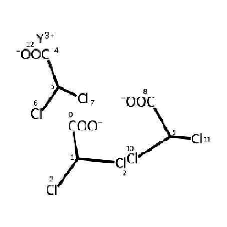 O=C([O-])C(Cl)Cl.O=C([O-])C(Cl)Cl.O=C([O-])C(Cl)Cl.[Y+3]